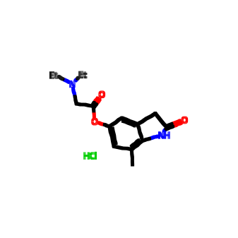 CCN(CC)CC(=O)Oc1cc(C)c2c(c1)CC(=O)N2.Cl